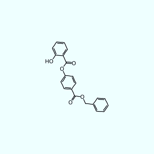 O=C(OCc1ccccc1)c1ccc(OC(=O)c2ccccc2O)cc1